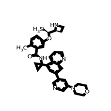 Cc1ccc(O[C@@H]([SiH3])[C@@H]2CCN2)cc1C(=O)NC1(c2cc(-c3cncc(N4CCOCC4)c3)cc3ncccc23)CC1